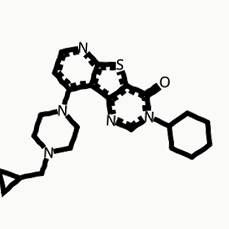 O=c1c2sc3nccc(N4CCN(CC5CC5)CC4)c3c2ncn1C1CCCCC1